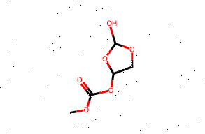 COC(=O)OC1COC(O)O1